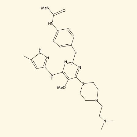 CNC(=O)Nc1ccc(Sc2nc(Nc3cc(C)[nH]n3)c(OC)c(N3CCN(CCN(C)C)CC3)n2)cc1